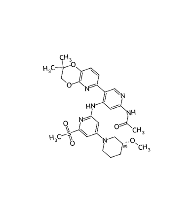 CO[C@@H]1CCCN(c2cc(Nc3cc(NC(C)=O)ncc3-c3ccc4c(n3)OCC(C)(C)O4)nc(S(C)(=O)=O)c2)C1